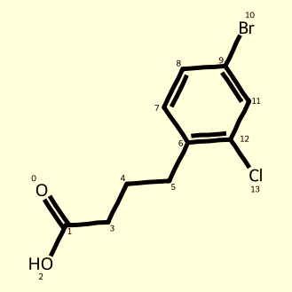 O=C(O)CCCc1ccc(Br)cc1Cl